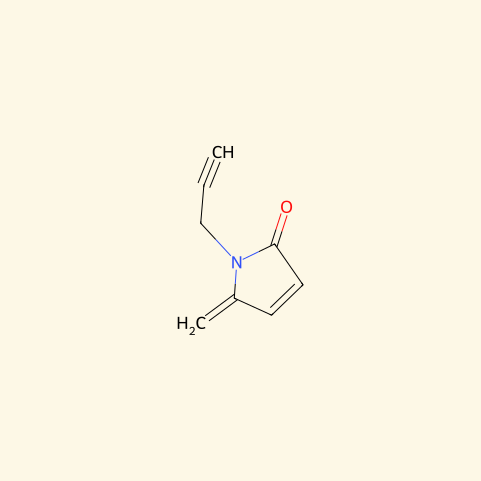 C#CCN1C(=C)C=CC1=O